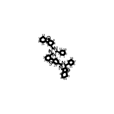 c1ccc(-c2nc(-c3ccc4oc5ccccc5c4c3)nc(-c3cccc4sc5cc(-c6nc(-c7ccccc7)c7oc8ccccc8c7n6)ccc5c34)n2)cc1